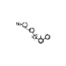 Cc1c(-c2ccccc2)cccc1-c1nnc(-c2cccc(CN3CCCC(O)C3)c2)o1